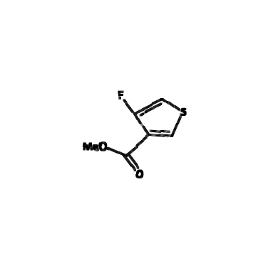 COC(=O)c1cscc1F